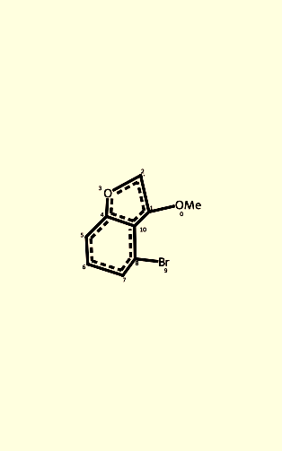 COc1[c]oc2cccc(Br)c12